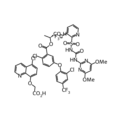 COc1cc(OC)nc(NC(=O)NS(=O)(=O)c2ncccc2C(F)(F)F)n1.C[C@H](OC(=O)c1cc(Oc2ccc(C(F)(F)F)cc2Cl)ccc1Cl)C(=O)O.O=C(O)COc1ccc(Cl)c2cccnc12